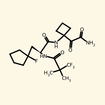 CC(C)(C(=O)N[C@@H](CC1(F)CCCC1)C(=O)NC1(C(=O)C(N)=O)CCC1)C(F)(F)F